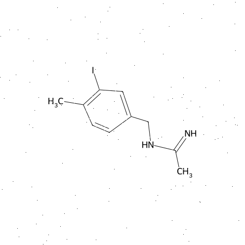 CC(=N)NCc1ccc(C)c(I)c1